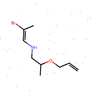 C=CCOC(C)CN/C=C(\C)Br